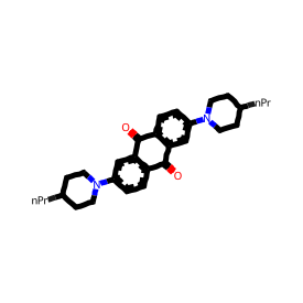 CCCC1CCN(c2ccc3c(c2)C(=O)c2ccc(N4CCC(CCC)CC4)cc2C3=O)CC1